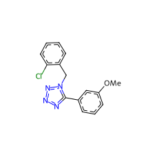 COc1cccc(-c2nnnn2Cc2ccccc2Cl)c1